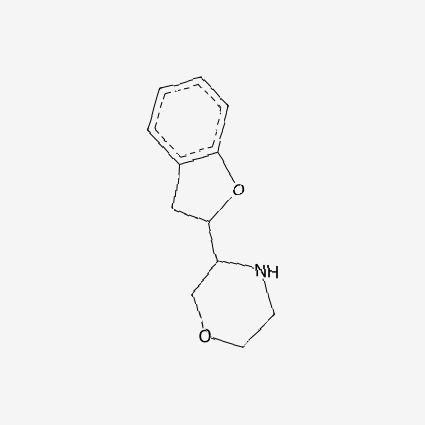 c1ccc2c(c1)CC(C1COCCN1)O2